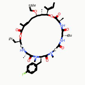 C/C=C(\C)[C@H]1OC(=O)[C@@H](C)NC(=O)[C@H](C(C)CC)NC(=O)CN(C)C(=O)[C@@H](Cc2ccc(F)cc2)N(C)C(=O)[C@H](C)NC[C@@H](CC(C)C)OC(=O)/C(C)=C/C[C@H](OCSC)[C@@H]1C